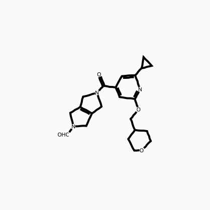 O=CN1CC2=C(C1)CN(C(=O)c1cc(OCC3CCOCC3)nc(C3CC3)c1)C2